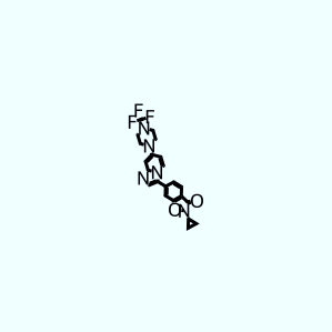 O=c1c2ccc(-c3cnc4cc(N5CCN(C(F)(F)F)CC5)ccn34)cc2on1C1CC1